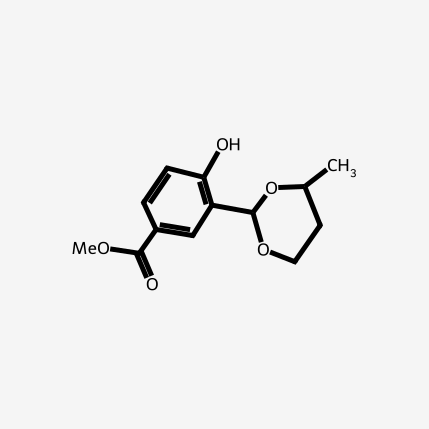 COC(=O)c1ccc(O)c(C2OCCC(C)O2)c1